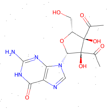 CC(=O)[C@@]1(O)[C@@H](CO)O[C@@H](n2cnc3c(=O)[nH]c(N)nc32)[C@@]1(O)C(C)=O